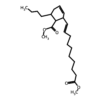 CCCCC1CC=CC(C=CCCCCCCCC(=O)OC)C1C(=O)OC